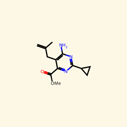 C=C(C)Cc1c(N)nc(C2CC2)nc1C(=O)OC